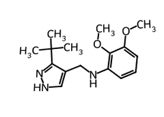 COc1cccc(NCc2c[nH]nc2C(C)(C)C)c1OC